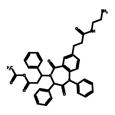 NCCNC(=O)CCc1ccc2c(c1)C(=O)N(C(CC(=O)OC(=O)C(F)(F)F)c1ccccc1)C(c1ccccc1)C(=O)N2c1ccccc1